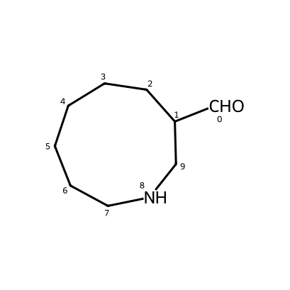 O=CC1CCCCCCNC1